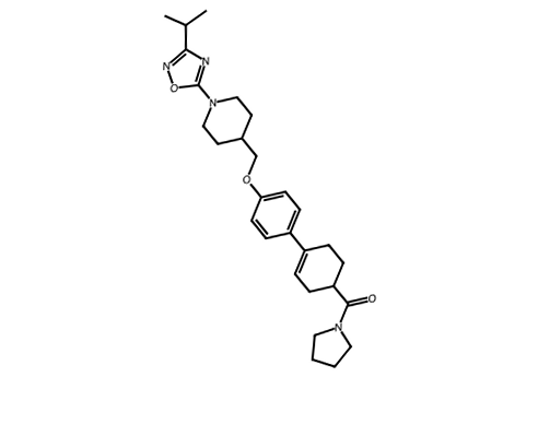 CC(C)c1noc(N2CCC(COc3ccc(C4=CCC(C(=O)N5CCCC5)CC4)cc3)CC2)n1